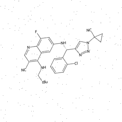 CC(C)(C)CNc1c(C#N)cnc2c(F)cc(N[C@H](c3cn(C4(C#N)CC4)nn3)c3ccccc3Cl)cc12